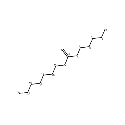 [CH2]CCCCCC(=C)CCCCCCCC